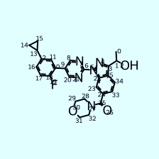 CC(O)c1nn(-c2ncc(-c3cc(C4CC4)ccc3F)cn2)c2cc(C(=O)N3CCOCC3)ccc12